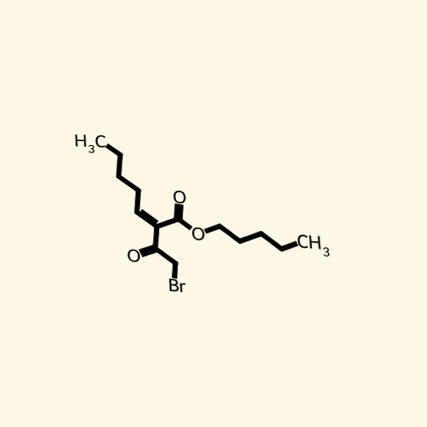 CCCCC=C(C(=O)CBr)C(=O)OCCCCC